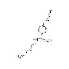 Cl.[N-]=[N+]=NCc1ccc(C(=O)NCCOCCN)cc1